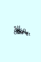 CCN(C)CCNC(=O)c1ccc(C(=O)Nc2nc3c(OC)ccc(-c4ccccc4)c3[nH]2)cc1